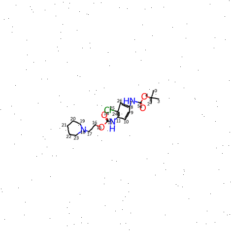 CC(C)(C)OC(=O)Nc1ccc(NC(=O)OCCN2CCCCC2)c(Cl)c1